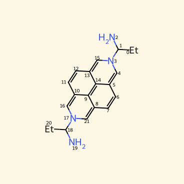 CCC(N)N1C=c2ccc3c4c(ccc(c24)=C1)=CN(C(N)CC)C=3